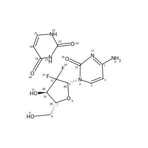 Nc1ccn([C@@H]2O[C@H](CO)[C@@H](O)C2(F)F)c(=O)n1.O=c1cc[nH]c(=O)[nH]1